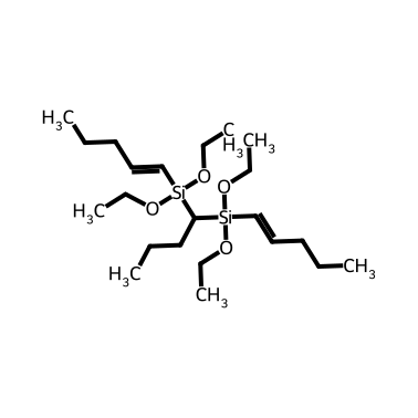 CCCC=C[Si](OCC)(OCC)C(CCC)[Si](C=CCCC)(OCC)OCC